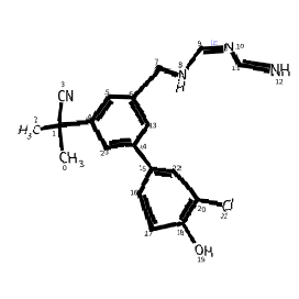 CC(C)(C#N)c1cc(CN/C=N\C=N)cc(-c2ccc(O)c(Cl)c2)c1